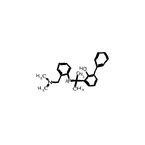 CN(C)Cc1ccccc1PC(C)(C)c1cccc(-c2ccccc2)c1O